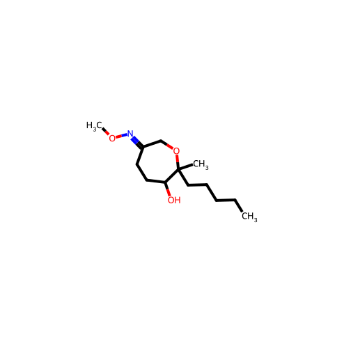 CCCCCC1(C)OC/C(=N/OC)CCC1O